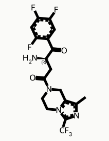 Cc1nc(C(F)(F)F)n2c1CN(C(=O)C[C@@H](N)C(=O)c1cc(F)c(F)cc1F)CC2